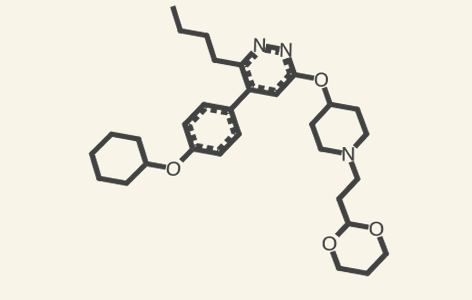 CCCCc1nnc(OC2CCN(CCC3OCCCO3)CC2)cc1-c1ccc(OC2CCCCC2)cc1